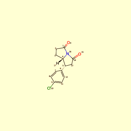 O=C1CC[C@H]2[C@@H](c3ccc(Cl)cc3)CC(=O)N12